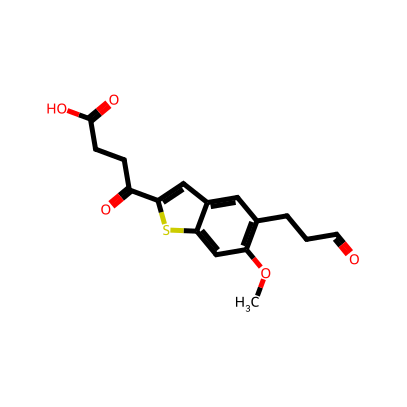 COc1cc2sc(C(=O)CCC(=O)O)cc2cc1CCC=O